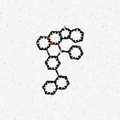 c1ccc(-c2ccc(-c3cccc4ccccc34)cc2N(c2ccccc2)c2cccc3sc4ccccc4c23)cc1